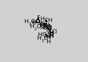 C#C[C@@H](C(=O)N[C@H](C(=C)O)c1cc(F)cc(OC)c1)N1CCn2cc(-c3nc(N[C@@H](C)CO)ncc3Cl)nc2C1=O